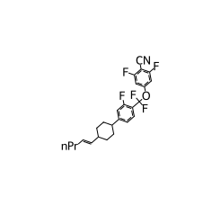 CCCC=CC1CCC(c2ccc(C(F)(F)Oc3cc(F)c(C#N)c(F)c3)c(F)c2)CC1